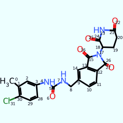 Cc1cc(NC(=O)NCc2ccc3c(c2)C(=O)N(C2CCC(=O)NC2=O)C3=O)ccc1Cl